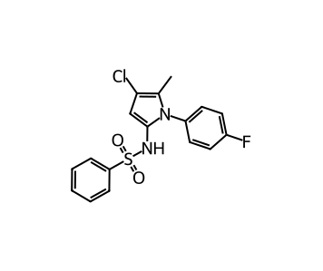 Cc1c(Cl)cc(NS(=O)(=O)c2ccccc2)n1-c1ccc(F)cc1